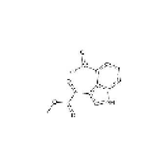 COC(=O)C(=O)c1c[nH]c2cccc([N+](=O)[O-])c12